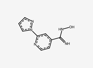 N=C(NO)c1ccnc(-n2cccn2)c1